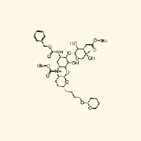 CC1CC[C@@H](CCCCOC2CCCCO2)O[C@@H]1OC1C(O)C(O[C@H]2OCC(C)(O)[C@H](CC(=O)OC(C)(C)C)C2O)[C@H](NC(=O)OCc2ccccc2)C[C@@H]1NC(=O)OC(C)(C)C